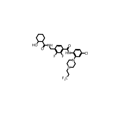 O=C(Nc1ccc(Cl)cc1N1CCN(CCC(F)(F)F)CC1)c1ccc(CNC(=O)C2CCCCC2O)c(F)c1F